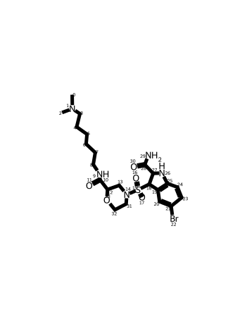 CN(C)CCCCCCNC(=O)C1CN(S(=O)(=O)C2c3cc(Br)ccc3NC2C(N)=O)CCO1